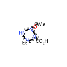 CCN1CCNCCN(COOC)CCN(CC(=O)O)CC1